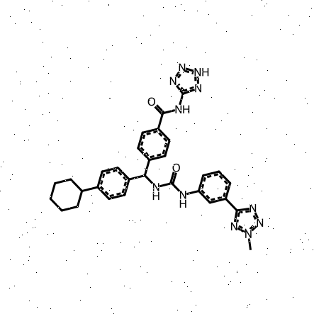 Cn1nnc(-c2cccc(NC(=O)NC(c3ccc(C(=O)Nc4nn[nH]n4)cc3)c3ccc(C4CCCCC4)cc3)c2)n1